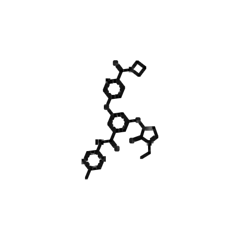 CC[N+]1=CC=C(Oc2cc(Oc3ccc(C(=O)N4CCC4)nc3)cc(C(=O)Nc3cnc(C)cn3)c2)C1=O